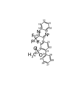 CS(=O)(=O)c1cc(-c2nc3ccccc3nc2C(F)(F)F)ccc1-c1ccccc1